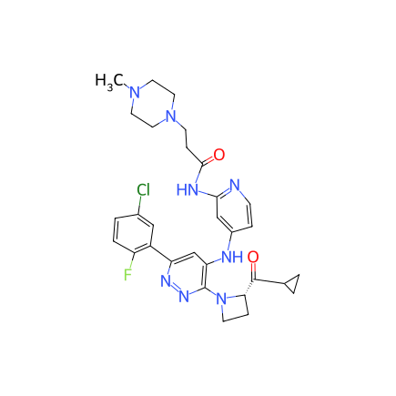 CN1CCN(CCC(=O)Nc2cc(Nc3cc(-c4cc(Cl)ccc4F)nnc3N3CC[C@H]3C(=O)C3CC3)ccn2)CC1